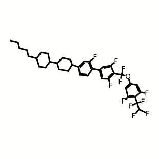 CCCCCC1CCC(C2CCC(c3ccc(-c4cc(F)c(C(F)(F)Oc5cc(F)c(C(F)(F)C(F)F)c(F)c5)c(F)c4)c(F)c3)CC2)CC1